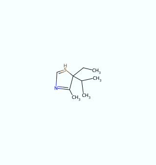 CCC1(C(C)C)[SH]=CN=C1C